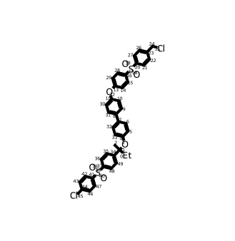 CCC(C)(Oc1ccc(-c2ccc(Oc3ccc(S(=O)(=O)c4ccc(CCl)cc4)cc3)cc2)cc1)c1ccc(S(=O)(=O)c2ccc(Cl)cc2)cc1